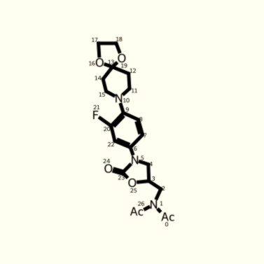 CC(=O)N(CC1CN(c2ccc(N3CCC4(CC3)OCCO4)c(F)c2)C(=O)O1)C(C)=O